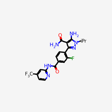 CC(C)n1nc(-c2ccc(C(=O)Nc3cc(C(F)(F)F)ccn3)cc2F)c(C(N)=O)c1N